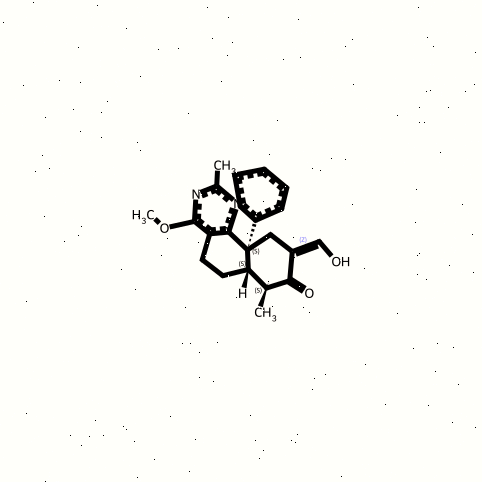 COc1nc(C)nc2c1CC[C@H]1[C@H](C)C(=O)/C(=C\O)C[C@]21c1ccccc1